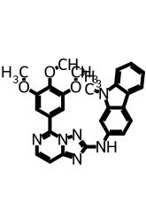 COc1cc(-c2nccc3nc(Nc4ccc5c6ccccc6n(C)c5c4)nn23)cc(OC)c1OC